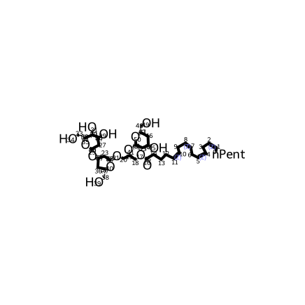 CCCCC/C=C\C/C=C\C/C=C\C/C=C\CCCC(=O)OCC(CO[C@H]1C[C@@H](O[C@H]2C[C@@H](O)[C@H](O)[C@@H](CO)O2)C[C@@H](CO)O1)O[C@H]1C[C@@H](O)C[C@@H](CO)O1